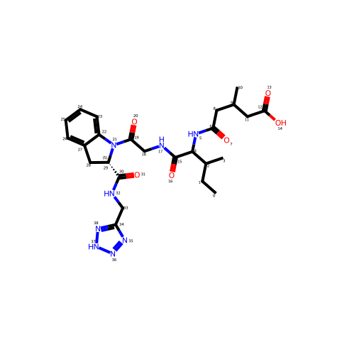 CCC(C)C(NC(=O)CC(C)CC(=O)O)C(=O)NCC(=O)N1c2ccccc2C[C@H]1C(=O)NCc1nn[nH]n1